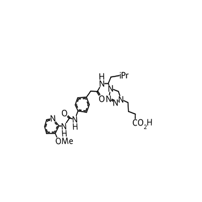 COc1cccnc1NC(=O)Nc1ccc(CC(=O)NC(CC(C)C)N2CN(CCCC(=O)O)N=N2)cc1